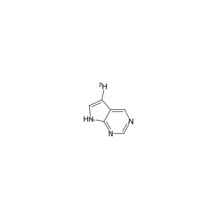 [2H]c1c[nH]c2ncncc12